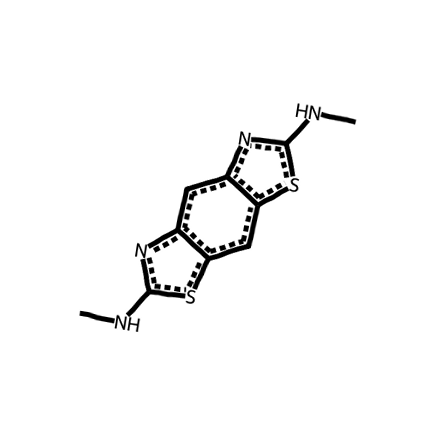 CNc1nc2cc3nc(NC)sc3cc2s1